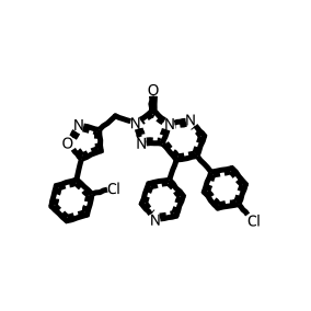 O=c1n(Cc2cc(-c3ccccc3Cl)on2)nc2c(-c3ccncc3)c(-c3ccc(Cl)cc3)cnn12